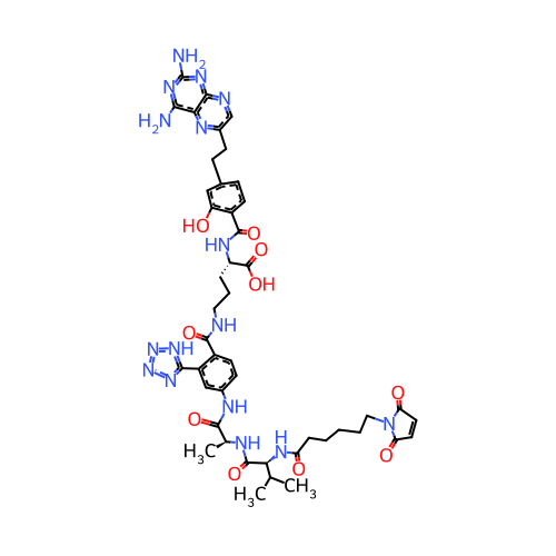 CC(C)[C@H](NC(=O)CCCCCN1C(=O)C=CC1=O)C(=O)N[C@@H](C)C(=O)Nc1ccc(C(=O)NCCC[C@H](NC(=O)c2ccc(CCc3cnc4nc(N)nc(N)c4n3)cc2O)C(=O)O)c(-c2nnn[nH]2)c1